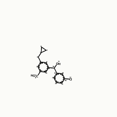 O=C(O)c1cc(CC2CC2)cc(C(O)c2cccc(Cl)c2)c1